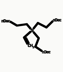 C=C[Si](CCCCCCCCCCCC)(CCCCCCCCCCCC)CCCCCCCCCCCC